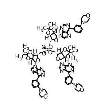 CC1(C)O[C@@H]2[C@H](O1)[C@@H](COP(=O)(OC[C@H]1O[C@@H](n3cnc4c(-c5cccc(N6CCOCC6)c5)ncnc43)[C@@H]3OC(C)(C)O[C@@H]31)OC[C@H]1O[C@@H](n3cnc4c(-c5cccc(N6CCOCC6)c5)ncnc43)[C@@H]3OC(C)(C)O[C@@H]31)O[C@H]2n1cnc2c(-c3cccc(N4CCOCC4)c3)ncnc21